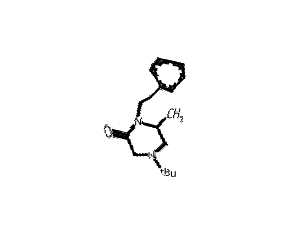 CC1CN(C(C)(C)C)CC(=O)N1Cc1ccccc1